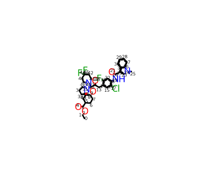 CCOC(=O)C1CCC(OC(C(=O)Cc2cc(Cl)c(NC(=O)c3cn(C)c4ccccc34)cc2F)(N2CCCC2)N2CCC(F)(F)CC2)CC1